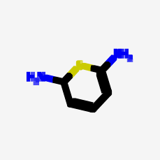 NC1=CC=CC(N)S1